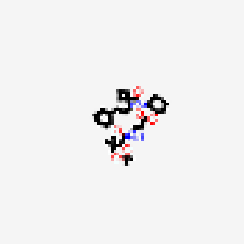 CC1(C)OCC(C)(C)C(C(=O)NCCC(=O)OC2CCCCC2NC(=O)C2(CC=Cc3ccccc3)CCC2)O1